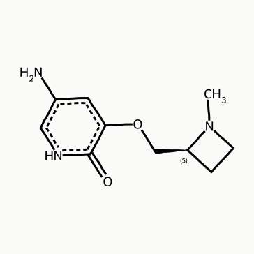 CN1CC[C@H]1COc1cc(N)c[nH]c1=O